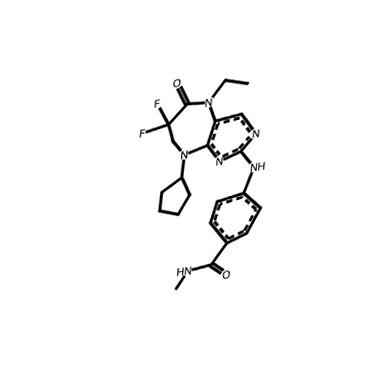 CCN1C(=O)C(F)(F)CN(C2CCCC2)c2nc(Nc3ccc(C(=O)NC)cc3)ncc21